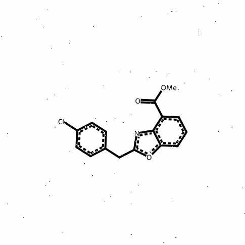 COC(=O)c1cccc2oc(Cc3ccc(Cl)cc3)nc12